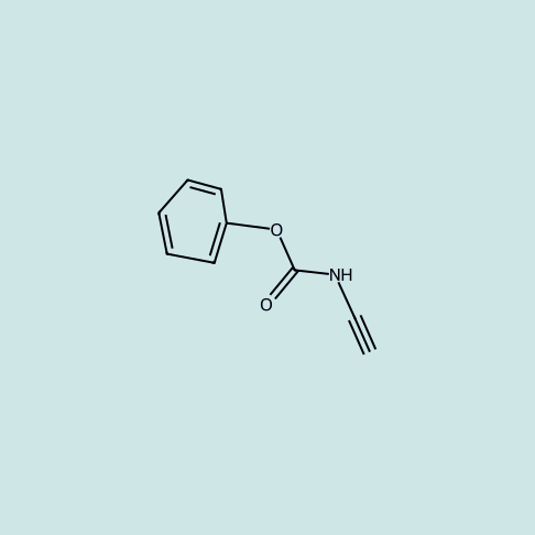 C#CNC(=O)Oc1ccccc1